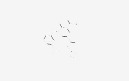 CNC(=O)c1cc(C(=O)NC2CCC2)cn(Cc2cccc(N(C)C)c2)c1=O